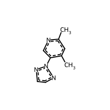 Cc1cc(C)c(-n2nccn2)cn1